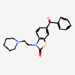 O=C(c1ccccc1)c1ccc2c(c1)sc(=O)n2CCN1CCCCC1